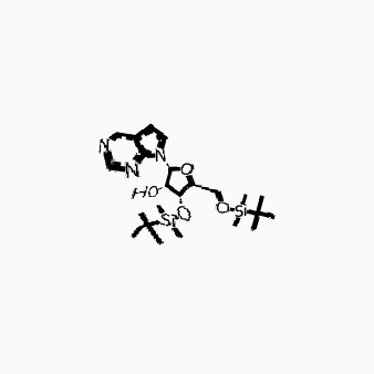 CC(C)(C)[Si](C)(C)OC[C@@H]1O[C@@H](n2ccc3cncnc32)[C@@H](O)[C@H]1O[Si](C)(C)C(C)(C)C